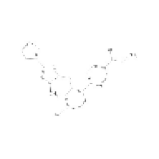 Cn1nc(-c2nccs2)cc1Oc1cc(C#N)ccc1-c1ncc(C(O)CN)cn1